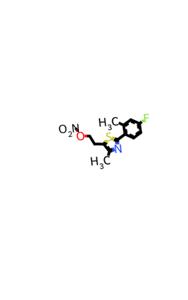 Cc1cc(F)ccc1-c1nc(C)c(CCO[N+](=O)[O-])s1